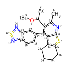 CC(=O)C(OC(C)(C)C)c1c(C)nc2sc3c(c2c1-c1ccc2nsnc2c1)CCCC3